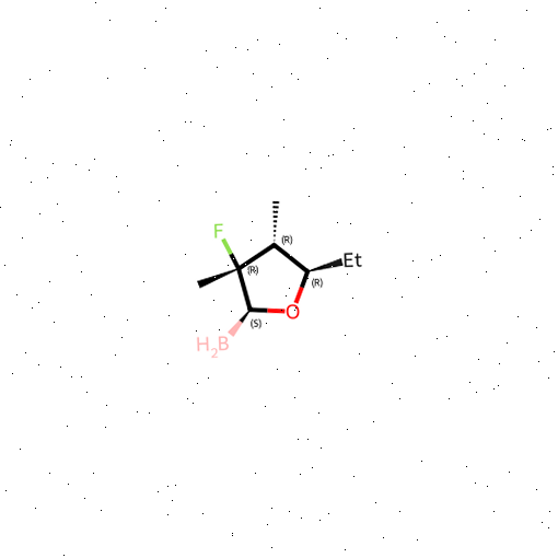 B[C@@H]1O[C@H](CC)[C@@H](C)[C@@]1(C)F